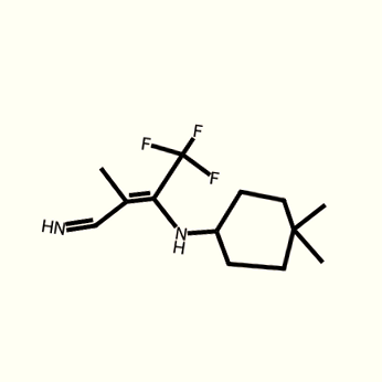 C/C(C=N)=C(/NC1CCC(C)(C)CC1)C(F)(F)F